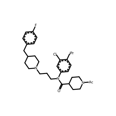 CC(=O)N1CCC(C(=O)N(CCCN2CCC(Cc3ccc(F)cc3)CC2)c2ccc(C(C)C)c(Cl)c2)CC1